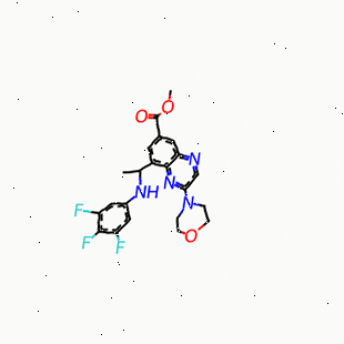 COC(=O)c1cc(C(C)Nc2cc(F)c(F)c(F)c2)c2nc(N3CCOCC3)cnc2c1